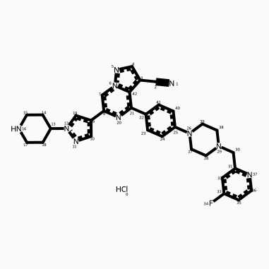 Cl.N#Cc1cnn2cc(-c3cnn(C4CCNCC4)c3)nc(-c3ccc(N4CCN(Cc5cc(F)ccn5)CC4)cc3)c12